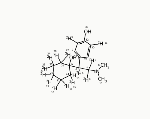 [2H]c1cc(C([2H])(C([2H])([2H])N(C)C)C2(O)C([2H])([2H])C([2H])([2H])C([2H])([2H])C([2H])([2H])C2([2H])[2H])cc([2H])c1O